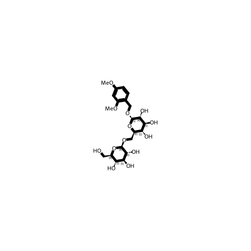 COc1ccc(CO[C@H]2O[C@H](CO[C@@H]3O[C@H](CO)[C@@H](O)[C@H](O)[C@H]3O)[C@@H](O)[C@H](O)[C@H]2O)c(OC)c1